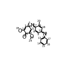 COC1=CC(C)(N=C2C=CC(=Nc3ccccc3)C=C2C)C=C(OC)C1=O